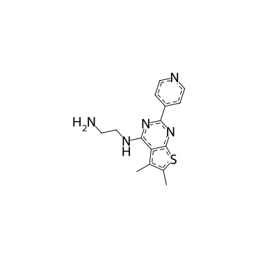 Cc1sc2nc(-c3ccncc3)nc(NCCN)c2c1C